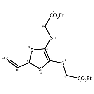 CCOC(=O)CSC1=C(SCC(=O)OCC)SC(C=S)S1